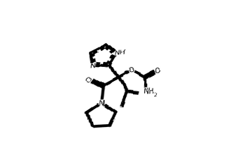 CC(C)C(OC(N)=O)(C(=O)N1CCCC1)c1ncc[nH]1